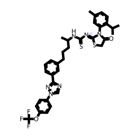 Cc1ccc(C(C)C)c(N2C(=O)CS/C2=N\C(=S)NC(C)CCCc2cccc(-c3ncn(-c4ccc(OC(F)(F)F)cc4)n3)c2)c1